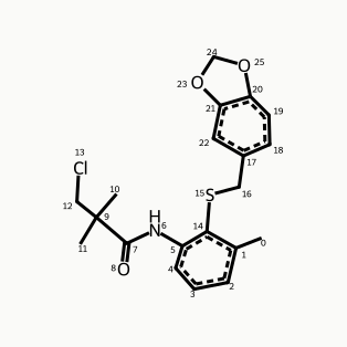 Cc1cccc(NC(=O)C(C)(C)CCl)c1SCc1ccc2c(c1)OCO2